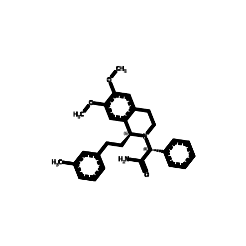 COc1cc2c(cc1OC)[C@H](CCc1cccc(C)c1)N([C@@H](C(N)=O)c1ccccc1)CC2